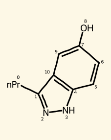 CCCc1n[nH]c2ccc(O)cc12